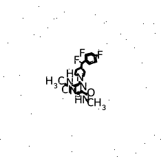 CNC(=O)c1cnc(NC(C)C)c(N2CCC([C@@H](F)c3ccc(F)cc3F)CC2)n1